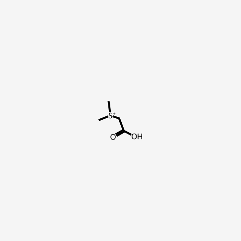 C[S+](C)CC(=O)O